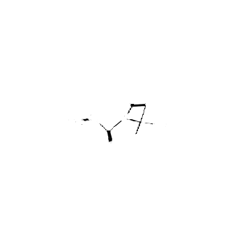 CC(C)(C)OC(=O)N1CC[C@@]1(C)C(=O)O